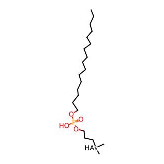 CCCCCCCCCCCCCCCCOP(=O)(O)OCCC[AsH](C)(C)C